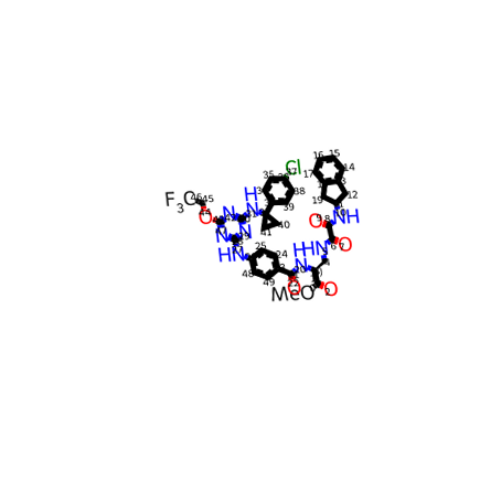 COC(=O)[C@H](CNC(=O)C(=O)NC1Cc2ccccc2C1)NC(=O)c1ccc(Nc2nc(NC3(c4ccc(Cl)cc4)CC3)nc(OCC(F)(F)F)n2)cc1